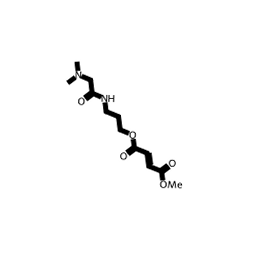 COC(=O)/C=C/C(=O)OCCCNC(=O)CN(C)C